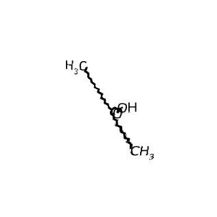 CCCCCCCCCCCCCCCCCC(CCCCCCCCCCCCCC)CC(=O)O